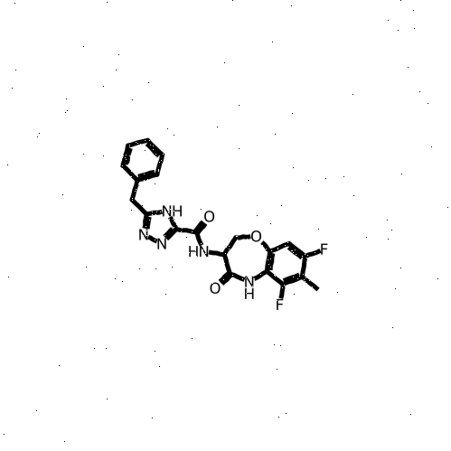 Cc1c(F)cc2c(c1F)NC(=O)C(NC(=O)c1nnc(Cc3ccccc3)[nH]1)CO2